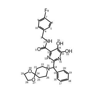 O=C(NCc1ccc(F)cc1)c1nc(C(c2ccccc2)N2CCC3(CC2)OCCO3)nc(O)c1O